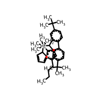 [CH2]=[Hf]([CH3])([CH3])([CH3])([c]1ccc(CCCC)s1)([CH]1C=CC=C1)[CH]1c2cc(C(C)(C)C)ccc2-c2ccc(C(C)(C)C)cc21